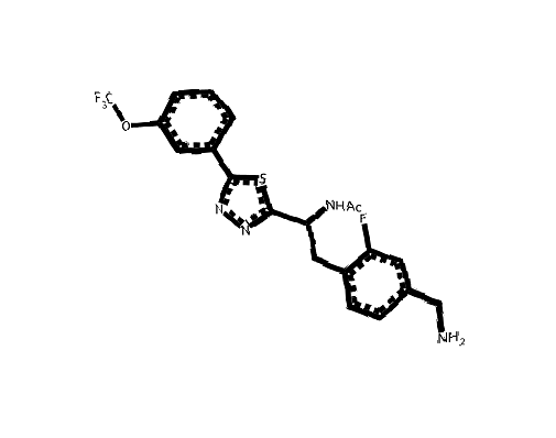 CC(=O)NC(Cc1ccc(CN)cc1F)c1nnc(-c2cccc(OC(F)(F)F)c2)s1